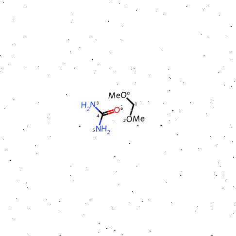 COCOC.NC(N)=O